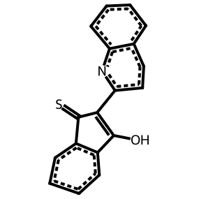 OC1=C(c2ccc3ccccc3n2)C(=S)c2ccccc21